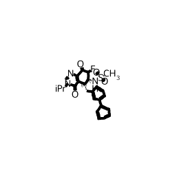 CC(C)n1cnc2c(c1=O)[C@@H](Cc1cccc(-c3ccccc3)c1)[C@@H](NS(C)(=O)=O)C(F)C2=O